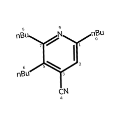 CCCCc1cc(C#N)c(CCCC)c(CCCC)n1